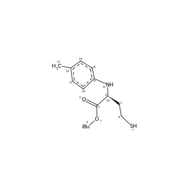 CCC(C)OC(=O)[C@H](CCS)Nc1ccc(C)cc1